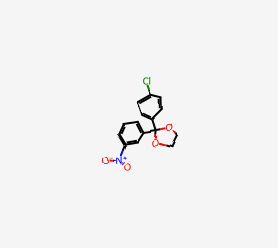 O=[N+]([O-])c1cccc(C2(c3ccc(Cl)cc3)OCCO2)c1